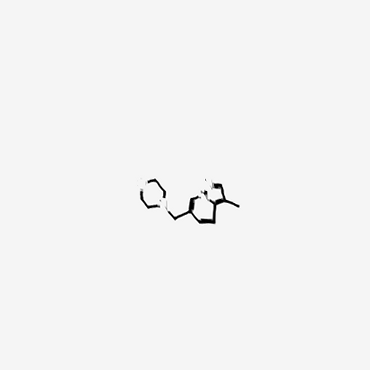 Cc1cnn2cc(CN3CCOCC3)ccc12